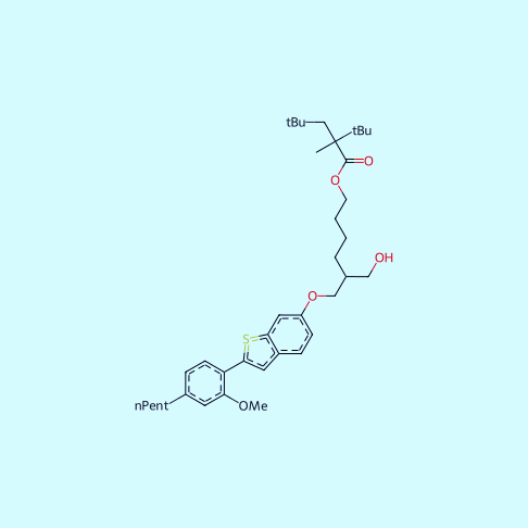 CCCCCc1ccc(-c2cc3ccc(OCC(CO)CCCCOC(=O)C(C)(CC(C)(C)C)C(C)(C)C)cc3s2)c(OC)c1